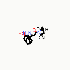 N#C[C@@H]1C[C@@H]2C[C@@H]2N1C(=O)C[C@@H](N)C12CC3CC(CC(O)(C3)C1)C2